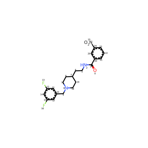 O=C(NCCC1CCN(Cc2cc(F)cc(F)c2)CC1)c1cccc([N+](=O)[O-])c1